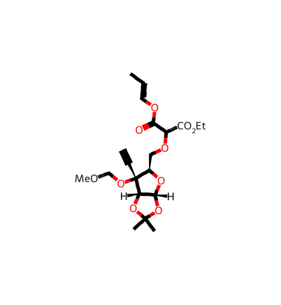 C#C[C@@]1(OCOC)[C@@H](COC(C(=O)OC=CC)C(=O)OCC)O[C@@H]2OC(C)(C)O[C@@H]21